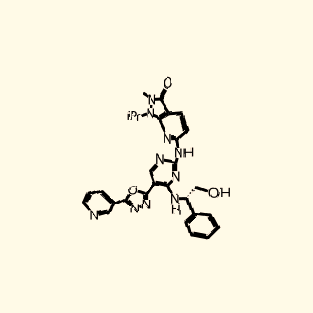 CC(C)n1c2nc(Nc3ncc(-c4nnc(-c5cccnc5)o4)c(N[C@H](CO)c4ccccc4)n3)ccc2c(=O)n1C